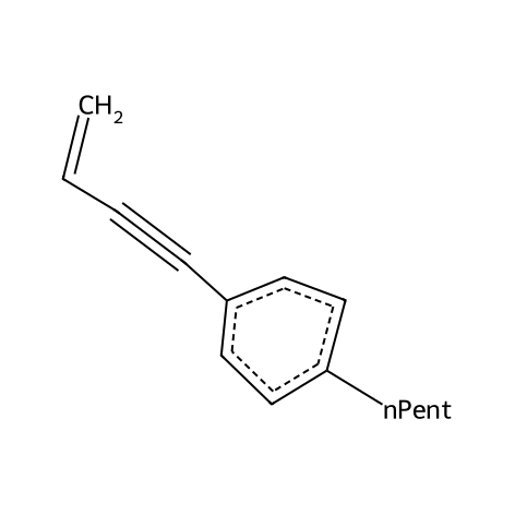 C=CC#Cc1ccc(CCCCC)cc1